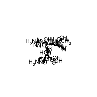 CC(C)(C)SSC(CN=[N+]=[N-])C[C@H](N)C(=O)O[C@H]1[C@@H](O)[C@H](n2cnc3c(N)ncnc32)O[C@@H]1COP(=O)(O)O[C@H]1C[C@H](n2ccc(N)nc2=O)O[C@@H]1COP(=O)(O)O